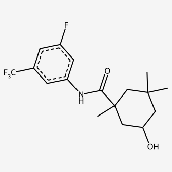 CC1(C)CC(O)CC(C)(C(=O)Nc2cc(F)cc(C(F)(F)F)c2)C1